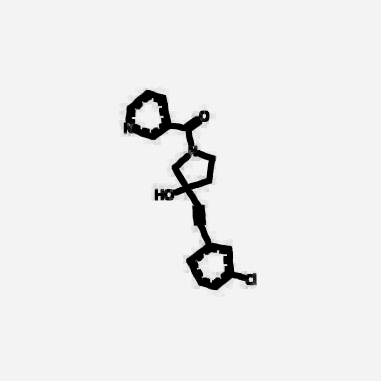 O=C(c1cccnc1)N1CCC(O)(C#Cc2cccc(Cl)c2)C1